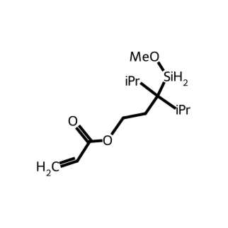 C=CC(=O)OCCC([SiH2]OC)(C(C)C)C(C)C